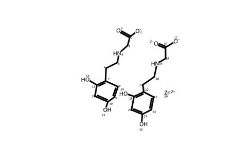 O=C([O-])CNCCc1ccc(O)cc1O.O=C([O-])CNCCc1ccc(O)cc1O.[Zn+2]